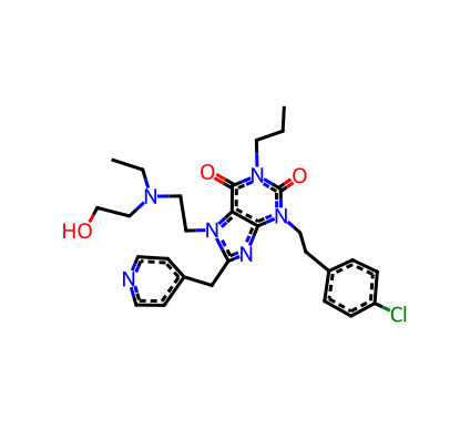 CCCn1c(=O)c2c(nc(Cc3ccncc3)n2CCN(CC)CCO)n(CCc2ccc(Cl)cc2)c1=O